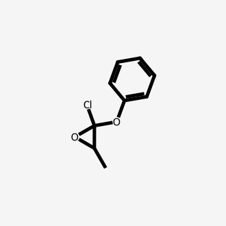 CC1OC1(Cl)Oc1ccccc1